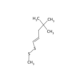 CSSC=CCC(C)(C)C